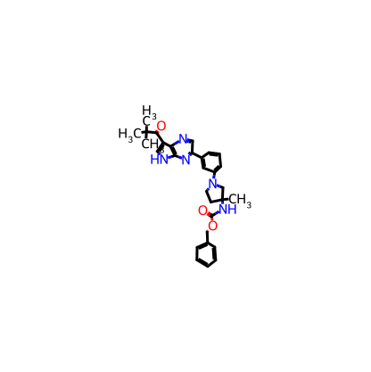 CC1(NC(=O)OCc2ccccc2)CCN(c2cccc(-c3cnc4c(C(=O)C(C)(C)C)c[nH]c4n3)c2)C1